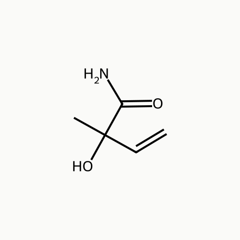 C=CC(C)(O)C(N)=O